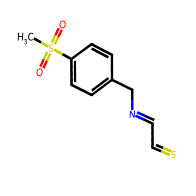 CS(=O)(=O)c1ccc(CN=CC=S)cc1